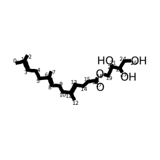 CC(C)=CCC/C(C)=C/CCC(C)=CCCC(=O)OCC(O)C(O)CO